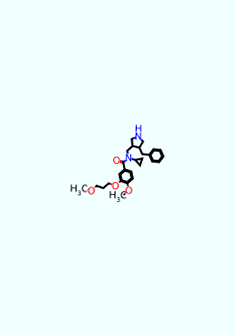 COCCCOc1cc(C(=O)N(CC2CNCC2Cc2ccccc2)C2CC2)ccc1OC